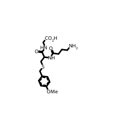 COc1ccc(CSCC(NC(=O)CCCN)C(=O)NCC(=O)O)cc1